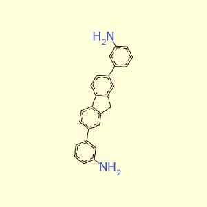 Nc1cccc(-c2ccc3c(c2)Cc2cc(-c4cccc(N)c4)ccc2-3)c1